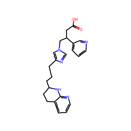 O=C(O)CC(Cn1cnc(CCCC2CCc3cccnc3N2)c1)c1cccnc1